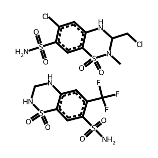 CN1C(CCl)Nc2cc(Cl)c(S(N)(=O)=O)cc2S1(=O)=O.NS(=O)(=O)c1cc2c(cc1C(F)(F)F)NCNS2(=O)=O